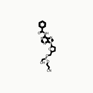 N#CCCOP(CO)OCC1CCC(n2cnc3c(NC(=O)c4ccccc4)ncnc32)O1